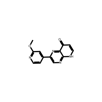 COc1cc(-c2cnc3[nH]ccc(=O)c3n2)ccn1